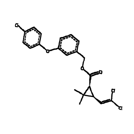 CC1(C)[C@H](C=C(Cl)Cl)[C@@H]1C(=O)OCc1cccc(Oc2ccc(Cl)cc2)c1